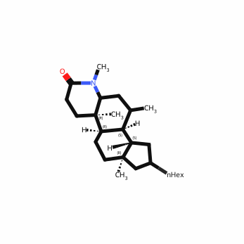 CCCCCCC1C[C@H]2[C@@H]3C(C)CC4N(C)C(=O)CC[C@]4(C)[C@@H]3CC[C@]2(C)C1